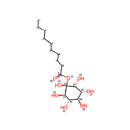 CCCCCCCCCC(=O)O[C@]1(O)[C@H](O)[C@H](O)[C@@H](O)[C@H](O)[C@H]1O